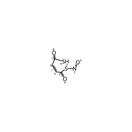 O=NSC(=O)/C=C\C(=O)S